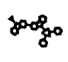 c1ccc(-c2nc(-c3ccccc3)nc(-n3c4ccccc4c4cc(-c5ccc6c(c5)c5ccccc5n6C5CC5)ccc43)n2)cc1